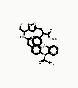 COC(=O)C(Cc1cc(C(CC(C)C)NC(=O)Cc2ccc(N(C(N)=O)c3ccccc3C)cc2)no1)c1ccccc1